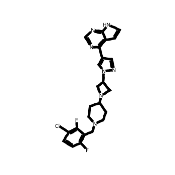 Fc1ccc(Cl)c(F)c1CN1CCC(N2C[C](n3cc(-c4ncnc5[nH]ccc45)cn3)C2)CC1